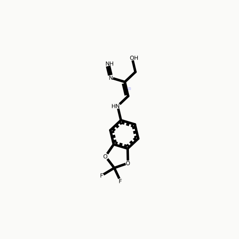 N=N/C(=C\Nc1ccc2c(c1)OC(F)(F)O2)CO